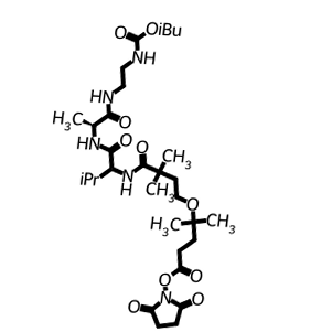 CC(C)COC(=O)NCCNC(=O)[C@H](C)NC(=O)C(NC(=O)C(C)(C)CCOC(C)(C)CCC(=O)ON1C(=O)CCC1=O)C(C)C